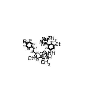 CCc1cc(NC(=O)N[C@H](C)[C@@H](O)CN(CC)CCCc2ccc(F)cc2)cc(-c2nnnn2C)c1